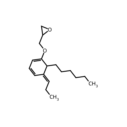 CCC=C1C=CC=C(OCC2CO2)C1CCCCCC